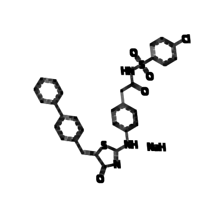 O=C(Cc1ccc(NC2=NC(=O)C(=Cc3ccc(-c4ccccc4)cc3)S2)cc1)NS(=O)(=O)c1ccc(Cl)cc1.[NaH]